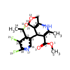 COC(=O)C1=C(C)NC2=C(C(=O)OC2)C1c1cnc(F)c(F)c1C(C)F